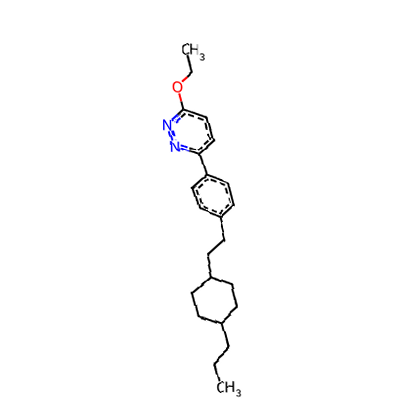 CCCC1CCC(CCc2ccc(-c3ccc(OCC)nn3)cc2)CC1